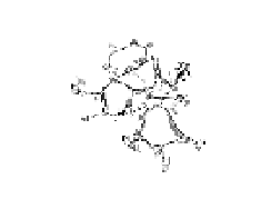 CC(C)[C@@H]1N[C@@](c2ccc(F)c(Br)c2)(C2(C)CCCCC2)C(C(=O)O)C1(c1cc(Cl)c(Cl)c(Cl)c1)C(F)(F)F